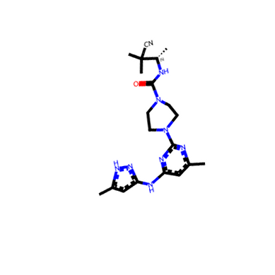 Cc1cc(Nc2cc(C)[nH]n2)nc(N2CCN(C(=O)N[C@@H](C)C(C)(C)C#N)CC2)n1